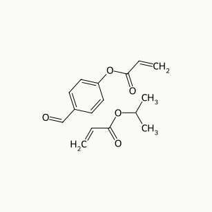 C=CC(=O)OC(C)C.C=CC(=O)Oc1ccc(C=O)cc1